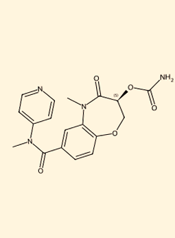 CN(C(=O)c1ccc2c(c1)N(C)C(=O)[C@@H](OC(N)=O)CO2)c1ccncc1